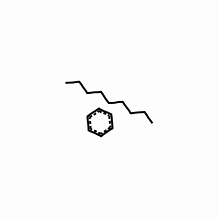 CCCCCCCCC.c1ccccc1